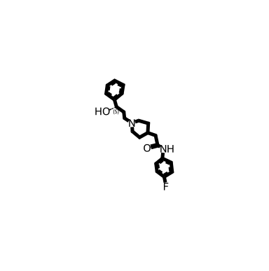 O=C(CC1CCN(CC[C@H](O)c2ccccc2)CC1)Nc1ccc(F)cc1